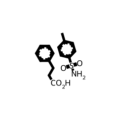 Cc1ccc(S(N)(=O)=O)cc1.O=C(O)CCc1ccccc1